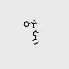 COc1nc(-c2cnc(N)cn2)ccc1NC(=O)c1c(-c2ccccc2)noc1C